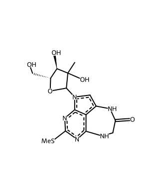 CSc1nc2c3c(cn(C4O[C@H](CO)[C@@H](O)C4(C)O)c3n1)NC(=O)CN2